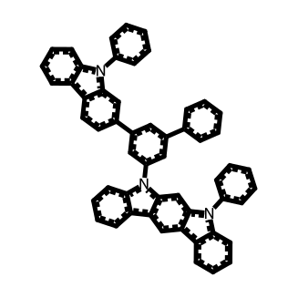 c1ccc(-c2cc(-c3ccc4c5ccccc5n(-c5ccccc5)c4c3)cc(-n3c4ccccc4c4cc5c6ccccc6n(-c6ccccc6)c5cc43)c2)cc1